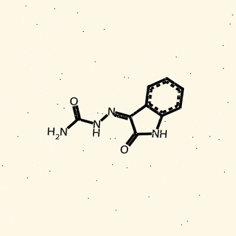 NC(=O)NN=C1C(=O)Nc2ccccc21